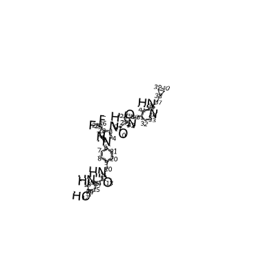 O=C(Nc1cn(-c2ccc(CNC(=O)[C@@H]3C[C@@H](O)CN3)cc2)nc1C(F)F)c1coc(-c2ccnc(NCC3CC3)c2)n1